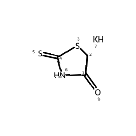 O=C1CSC(=S)N1.[KH]